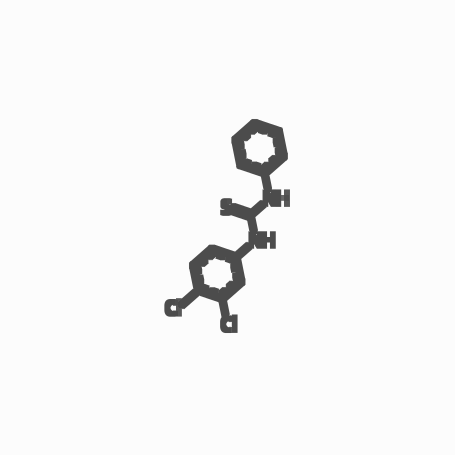 S=C(Nc1ccccc1)Nc1ccc(Cl)c(Cl)c1